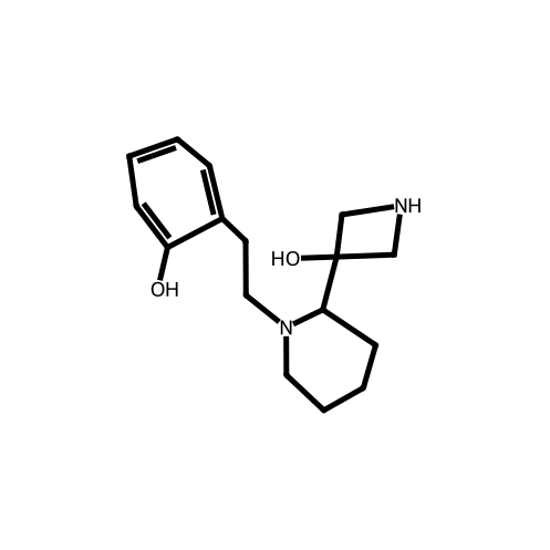 Oc1ccccc1CCN1CCCCC1C1(O)CNC1